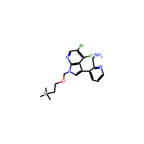 C[Si](C)(C)CCOCn1cc(-c2cccnc2CN)c2c(Cl)c(Br)cnc21